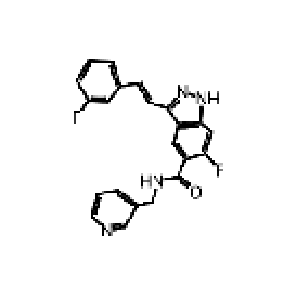 O=C(NCc1cccnc1)c1cc2c(/C=C/c3cccc(F)c3)n[nH]c2cc1F